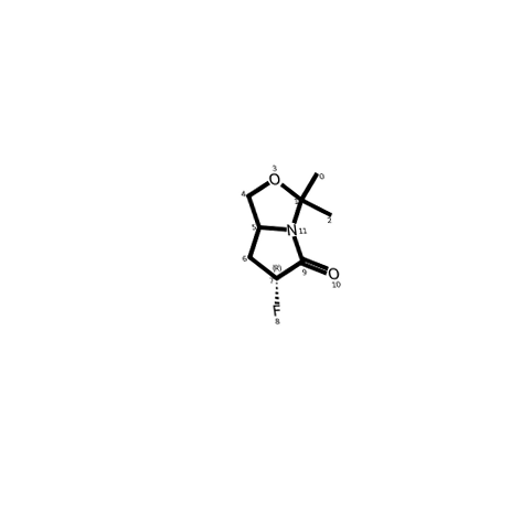 CC1(C)OCC2C[C@@H](F)C(=O)N21